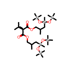 CC(C)=C(C(=O)OCC(C)C[Si](C)(O[Si](C)(C)C)O[Si](C)(C)C)C(=O)OCC(C)C[Si](C)(O[Si](C)(C)C)O[Si](C)(C)C